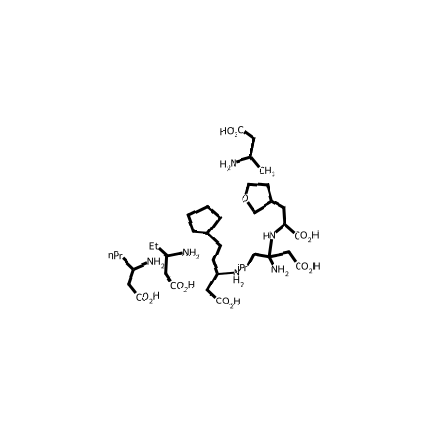 CC(C)CC(N)(CC(=O)O)NC(CC1CCOC1)C(=O)O.CC(N)CC(=O)O.CCC(N)CC(=O)O.CCCC(N)CC(=O)O.NC(CCC1CCCC1)CC(=O)O